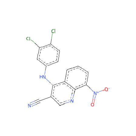 N#Cc1cnc2c([N+](=O)[O-])cccc2c1Nc1ccc(Cl)c(Cl)c1